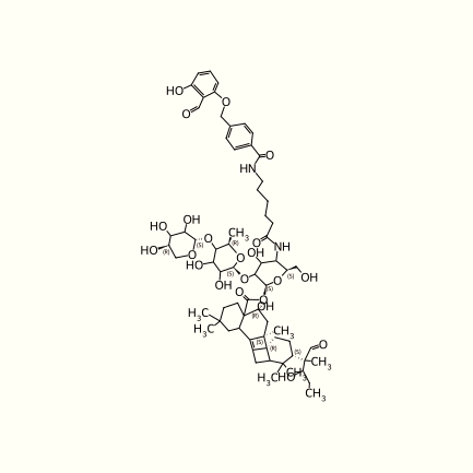 CCC(O)C(C)(C=O)[C@H]1CC[C@]23C(=C4C5CC(C)(C)CCC5(C(=O)O[C@@H]5O[C@H](CO)C(NC(=O)CCCCCNC(=O)c6ccc(COc7cccc(O)c7C=O)cc6)C(O)C5O[C@@H]5O[C@H](C)C(O[C@@H]6OC[C@@H](O)C(O)C6O)C(O)C5O)[C@H](O)C[C@]42C)CC3C1(C)C